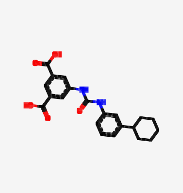 O=C(Nc1cc(C(=O)O)cc(C(=O)O)c1)Nc1cccc(C2CCCCC2)c1